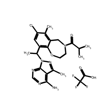 Cc1c(Cl)cc(C(C)n2nc(C)c3c(N)ncnc32)c2c1CN(C(=O)C(C)C)CCO2.O=C(O)C(F)(F)F